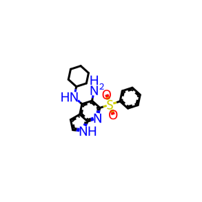 Nc1c(S(=O)(=O)c2ccccc2)nc2[nH]ccc2c1NC1CCCCC1